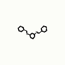 C(=Nc1cccc(N=Cc2ccccc2)c1)c1ccccc1